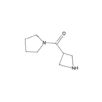 O=C(C1CNC1)N1CCCC1